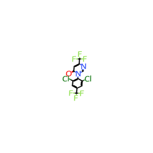 O=c1cc(C(F)(F)F)ncn1-c1c(Cl)cc(C(F)(F)F)cc1Cl